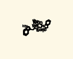 CCCC[C@@H](C(=O)N1c2ccccc2C[C@H]1C(=O)O)N(C(=O)OC(C)(C)C)C(=O)[C@@H](N)Cc1c[nH]c2ccccc12